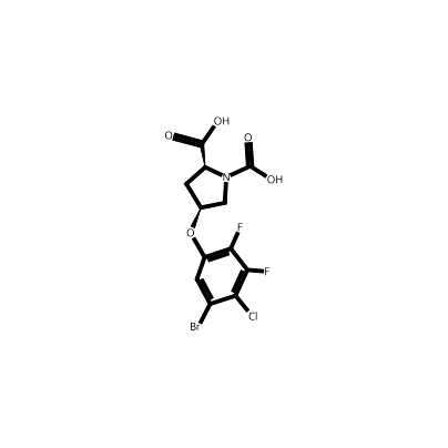 O=C(O)[C@@H]1C[C@H](Oc2cc(Br)c(Cl)c(F)c2F)CN1C(=O)O